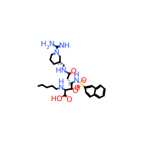 CCCCCNC(C(=O)O)C(=O)[C@H](CC(=O)NC[C@@H]1CCCN(C(=N)N)C1)NS(=O)(=O)c1ccc2ccccc2c1